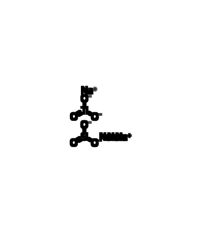 O=[Si]([O-])[O-].[Na+].[Na+].[Na+].[Na+].[O]=[Ti]([O-])[O-]